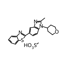 CS(=O)(=O)O.Cc1nc2cc(-c3nc4ccccc4s3)ccc2n1C1CCOCC1